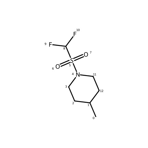 CC1CCN(S(=O)(=O)C(F)F)CC1